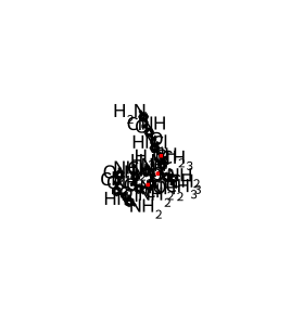 CN(C)c1ccc(C(=O)c2ccc(N(C)C)c(N)c2)cc1N.Nc1cc(C(=O)c2ccc(Cl)c(N)c2)ccc1Cl.Nc1ccc(C(=O)c2ccc(N)c([N+](=O)[O-])c2)cc1[N+](=O)[O-].Nc1ccc(NC(=O)c2ccc(C(=O)Nc3ccc(N)cc3Cl)cc2)c(Cl)c1.Nc1ccc(NC(=O)c2cccc(C(=O)Nc3ccc(N)cc3Cl)c2)c(Cl)c1